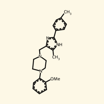 COc1ccccc1N1CCN(Cc2nc(-c3ccc(C)cc3)[nH]c2C)CC1